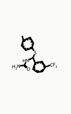 Cc1ccc(SC(NC(N)=O)c2cccc(C(F)(F)F)c2)cc1